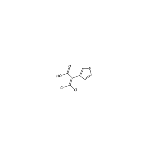 O=C(O)C(=C(Cl)Cl)c1ccsc1